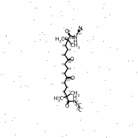 [C-]#[N+]NC(=O)C(C)(C)CCCC(=O)CCCC(=O)CCCC(C)(C)C(=O)NC#N